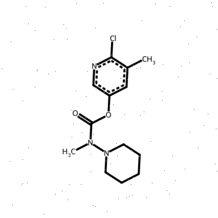 Cc1cc(OC(=O)N(C)N2CCCCC2)cnc1Cl